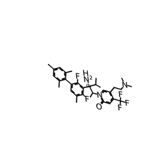 Cc1cc(C)c(-c2cc(C)c(F)c([C@@](N)(C(C)C)C(C)n3cc(CCN(C)C)c(C(F)(F)F)cc3=O)c2F)c(C)c1